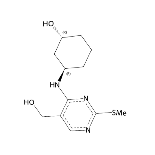 CSc1ncc(CO)c(N[C@@H]2CCC[C@@H](O)C2)n1